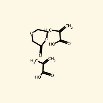 C=C(C)C(=O)O.C=C(C)C(=O)O.O=C1COCCO1